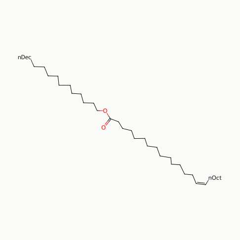 CCCCCCCC/C=C\CCCCCCCCCCCCCC(=O)OCCCCCCCCCCCCCCCCCCCCC